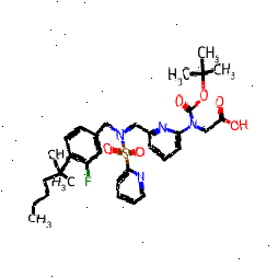 CCCCC(C)(C)c1ccc(CN(Cc2cccc(N(CC(=O)O)C(=O)OC(C)(C)C)n2)S(=O)(=O)c2ccccn2)cc1F